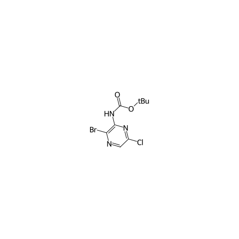 CC(C)(C)OC(=O)Nc1nc(Cl)cnc1Br